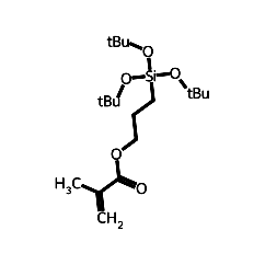 C=C(C)C(=O)OCCC[Si](OC(C)(C)C)(OC(C)(C)C)OC(C)(C)C